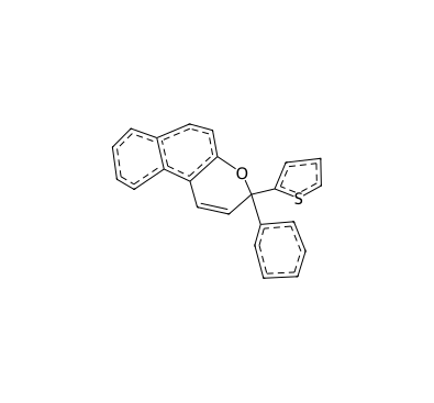 C1=CC(c2ccccc2)(c2cccs2)Oc2ccc3ccccc3c21